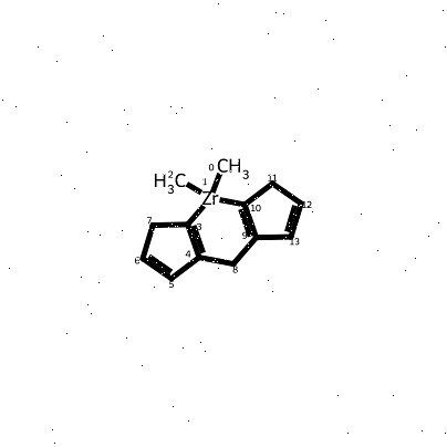 [CH3][Zr]1([CH3])[C]2=C(C=CC2)CC2=[C]1CC=C2